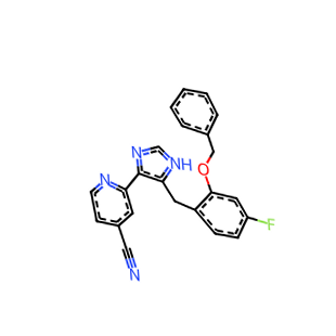 N#Cc1ccnc(-c2nc[nH]c2Cc2ccc(F)cc2OCc2ccccc2)c1